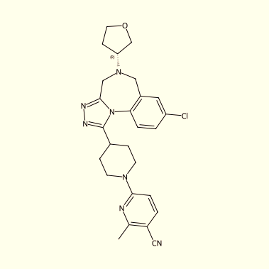 Cc1nc(N2CCC(c3nnc4n3-c3ccc(Cl)cc3CN([C@@H]3CCOC3)C4)CC2)ccc1C#N